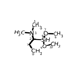 CC[C](N(C)C)[SiH](OC)OC